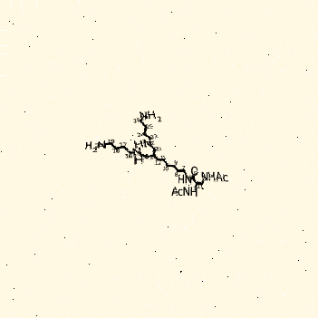 CC(=O)NCC(NC(C)=O)C(=O)NCCCCCCC(CNCCCCN)CNCCCCN